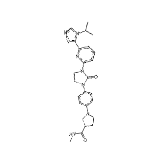 CNC(=O)C1CCN(c2ccc(N3CCN(c4cccc(-c5nncn5C(C)C)n4)C3=O)cc2)C1